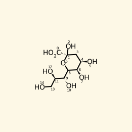 O=C(O)[C@]1(O)C[C@@H](O)[C@@H](O)C([C@H](O)[C@H](O)CO)O1